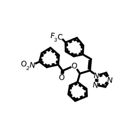 O=C(OC(/C(=C\c1ccc(C(F)(F)F)cc1)n1cncn1)c1ccccc1)c1cccc([N+](=O)[O-])c1